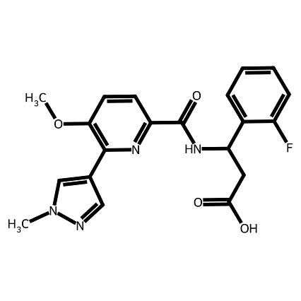 COc1ccc(C(=O)NC(CC(=O)O)c2ccccc2F)nc1-c1cnn(C)c1